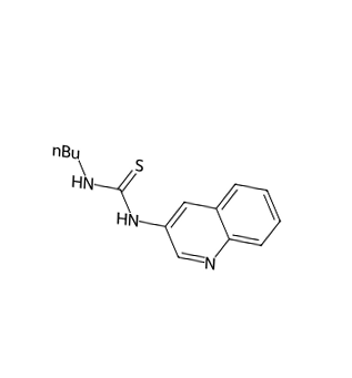 CCCCNC(=S)Nc1cnc2ccccc2c1